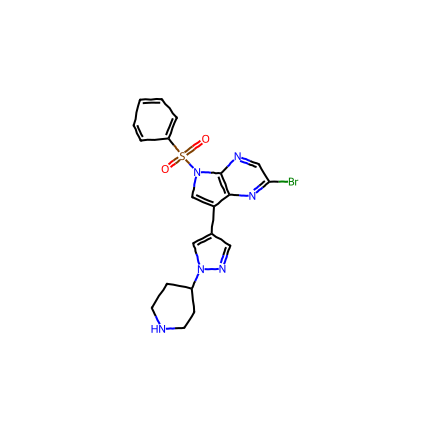 O=S(=O)(c1ccccc1)n1cc(-c2cnn(C3CCNCC3)c2)c2nc(Br)cnc21